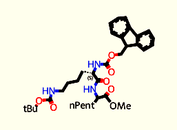 CCCCCC(NC(=O)[C@H](CCCCNC(=O)OC(C)(C)C)NC(=O)OCC1c2ccccc2-c2ccccc21)C(=O)OC